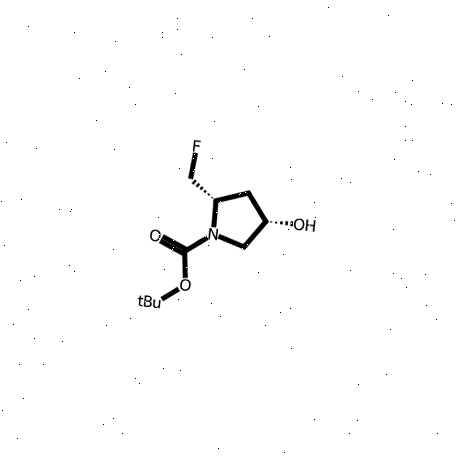 CC(C)(C)OC(=O)N1C[C@@H](O)C[C@H]1CF